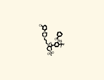 CS(=O)(=O)N1CCc2c(c(-c3ccc(C(F)(F)F)c(NC(=O)c4ccccc4)c3)nn2CCCN2CCN(c3cccc(Cl)c3)CC2)C1